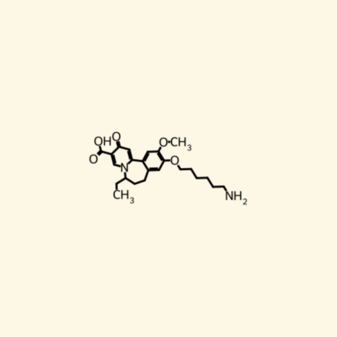 CCC1CCc2cc(OCCCCCCN)c(OC)cc2-c2cc(=O)c(C(=O)O)cn21